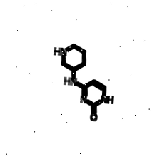 O=c1nc(NC2CCCNC2)cc[nH]1